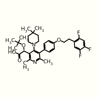 Cc1nc(C)c([C@H](OC(C)(C)C)C(=O)O)c(N2CCC(C)(C)CC2)c1-c1ccc(OCCc2cc(F)c(F)cc2F)cc1